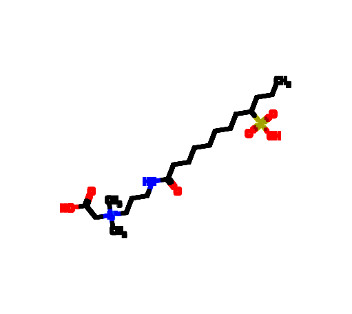 CCCC(CCCCCCCC(=O)NCCC[N+](C)(C)CC(=O)O)S(=O)(=O)O